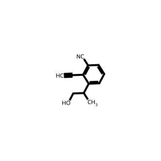 C#Cc1c(C#N)cccc1[C](C)CO